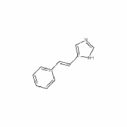 C(=Cc1cnc[nH]1)c1ccccc1